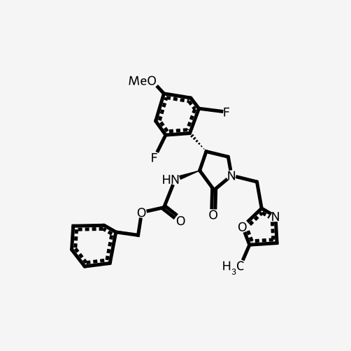 COc1cc(F)c([C@@H]2CN(Cc3ncc(C)o3)C(=O)[C@H]2NC(=O)OCc2ccccc2)c(F)c1